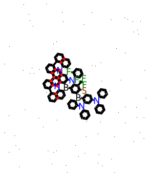 Fc1ccccc1N1c2cc(N(c3ccccc3)c3c(-c4ccccc4)cccc3-c3ccccc3)cc3c2B(c2ccccc2N3c2c(-c3ccccc3)cccc2-c2ccccc2)c2cc3c(c(C(F)(F)F)c21)Sc1cc(N(c2ccccc2)c2ccccc2)cc2c1B3c1ccccc1N2c1ccccc1